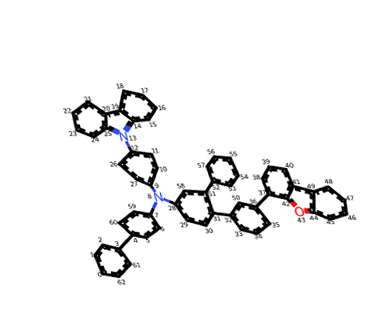 c1ccc(-c2ccc(N(c3ccc(-n4c5ccccc5c5ccccc54)cc3)c3ccc(-c4cccc(-c5cccc6c5oc5ccccc56)c4)c(-c4ccccc4)c3)cc2)cc1